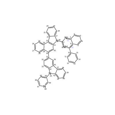 N=C(/N=C1/C=CC=C/C1=C\c1ccccc1)n1c2ccccc2c2c3ccccc3c(-c3ccc4c(c3)c3ccccc3n4-c3cccnc3)cc21